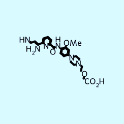 COc1cc(N2CCN(CCOCC(=O)O)CC2)ccc1NC(=O)c1cccc(/C(N)=C/C=N)n1